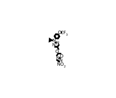 O=[N+]([O-])c1cn2c(n1)OC[C@@H](OCc1cnc(N(c3ccc(OC(F)(F)F)cc3)C3CC3)nc1)C2